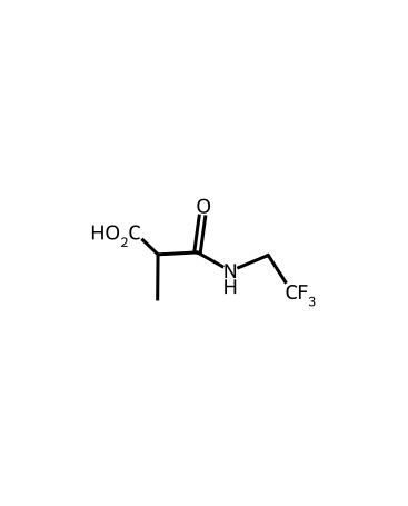 CC(C(=O)O)C(=O)NCC(F)(F)F